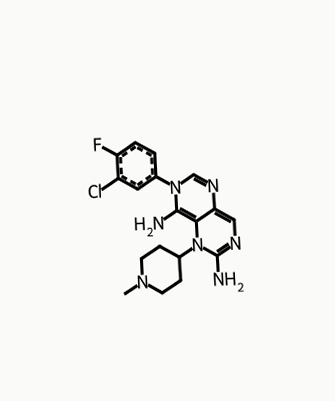 CN1CCC(N2C(N)=NC=C3N=CN(c4ccc(F)c(Cl)c4)C(N)=C32)CC1